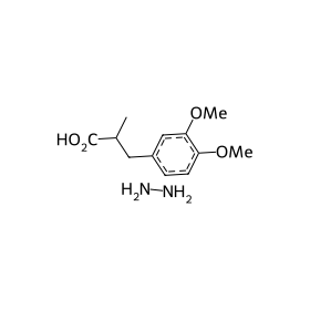 COc1ccc(CC(C)C(=O)O)cc1OC.NN